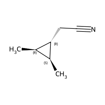 C[C@@H]1[C@H](C)[C@H]1CC#N